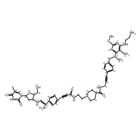 CCCSc1nc(NCCN)c(N)c(N(N)Cc2ccc(C#CCNC(=O)C3CCN(CCNC(=O)C#Cc4ccc(/C(N)=C/NC5CC(n6cc(C)c(=O)[nH]c6=O)OC5CO)cc4)CC3)cc2)n1